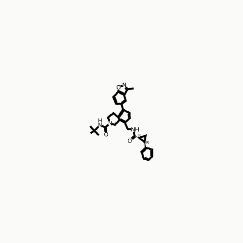 Cc1noc2ccc(-c3ccc(CNC(=O)[C@@H]4C[C@H]4c4ccccc4)c4c3CCN(C(=O)NC(C)(C)C)C4)cc12